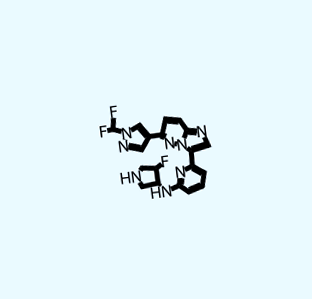 FC1CNC[C@@H]1Nc1cccc(-c2cnc3ccc(-c4cnn(C(F)F)c4)nn23)n1